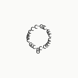 C1CCCCCCCCCCCCCCCC2(CCCCCCCCCCCCCC1)COC2